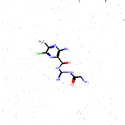 Cc1nc(N)c(C(=O)NC(=N)NC(=O)CN)nc1Cl